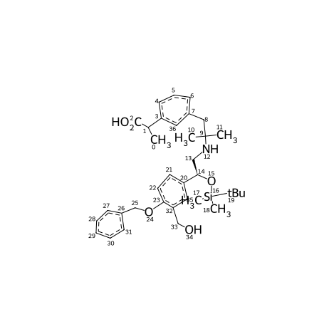 CC(C(=O)O)c1cccc(CC(C)(C)NC[C@@H](O[Si](C)(C)C(C)(C)C)c2ccc(OCc3ccccc3)c(CO)c2)c1